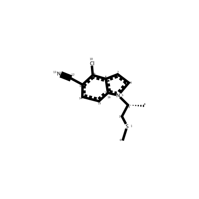 CSC[C@@H](C)n1ccc2c(Cl)c(C#N)ccc21